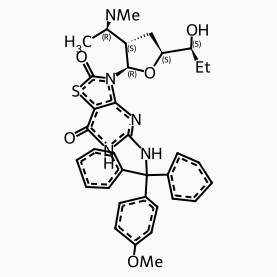 CC[C@H](O)[C@@H]1C[C@@H]([C@@H](C)NC)[C@H](n2c(=O)sc3c(=O)[nH]c(NC(c4ccccc4)(c4ccccc4)c4ccc(OC)cc4)nc32)O1